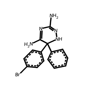 NC1=NNC(c2ccccc2)(c2ccc(Br)cc2)C(N)=N1